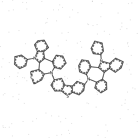 c1ccc(-n2c3c(c4ccccc42)-c2ccccc2N(c2ccc4sc5ccc(N6c7ccccc7-c7c(n(-c8ccccc8)c8ccccc78)-c7ccccc76)cc5c4c2)c2ccccc2-3)cc1